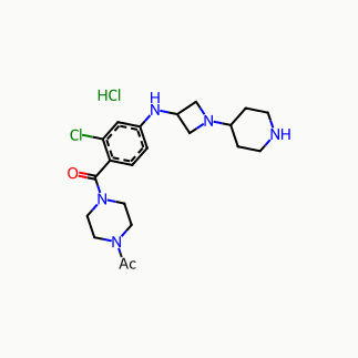 CC(=O)N1CCN(C(=O)c2ccc(NC3CN(C4CCNCC4)C3)cc2Cl)CC1.Cl